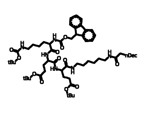 CCCCCCCCCCCC(=O)NCCCCCCNC(=O)C(CCC(=O)OC(C)(C)C)NC(=O)C(CCC(=O)OC(C)(C)C)NC(=O)C(CCCCNC(=O)OC(C)(C)C)NC(=O)OCC1c2ccccc2-c2ccccc21